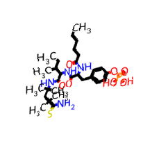 CCCCCC(=O)NC(Cc1ccc(OP(=O)(O)O)cc1)C(=O)NC(C(=O)NC(C)(C)CC(C)(C)C(N)=S)C(C)CC